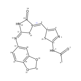 CC(=O)Nc1ncc(/C=C2\SC(=Nc3ccc4c(c3)OCO4)NC2=O)s1